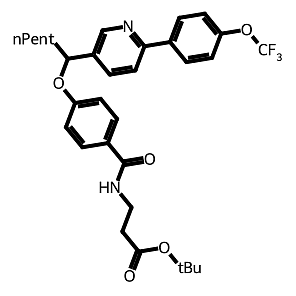 CCCCCC(Oc1ccc(C(=O)NCCC(=O)OC(C)(C)C)cc1)c1ccc(-c2ccc(OC(F)(F)F)cc2)nc1